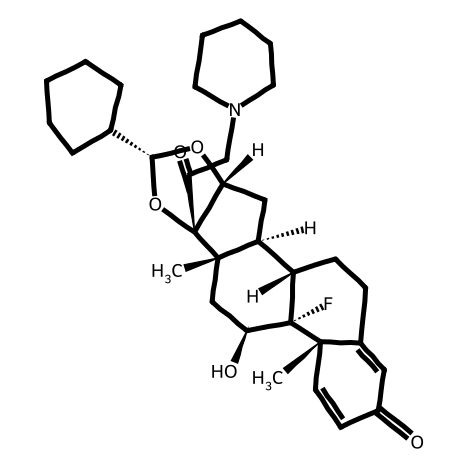 C[C@]12C=CC(=O)C=C1CC[C@H]1[C@@H]3C[C@H]4O[C@@H](C5CCCCC5)O[C@@]4(C(=O)CN4CCCCC4)[C@@]3(C)C[C@H](O)[C@@]12F